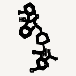 O=C(N[C@H]1CC[C@H](CN2C(=O)C(O)(c3ncccc3F)c3ccccc32)CC1)c1cc(Cl)cnc1C(F)F